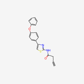 C#CCC(=O)Nc1nc(-c2ccc(Oc3ccccc3)cc2)cs1